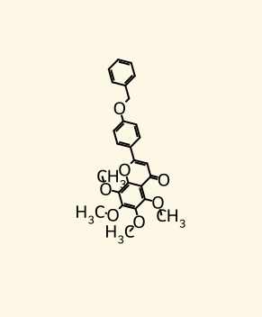 COc1c(OC)c(OC)c2c(=O)cc(-c3ccc(OCc4ccccc4)cc3)oc2c1OC